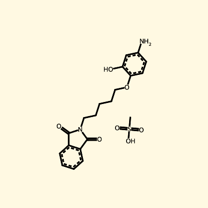 CS(=O)(=O)O.Nc1ccc(OCCCCCN2C(=O)c3ccccc3C2=O)c(O)c1